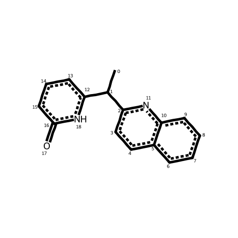 CC(c1ccc2ccccc2n1)c1cccc(=O)[nH]1